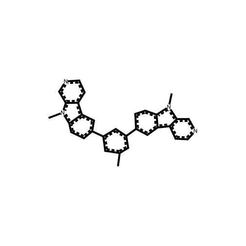 Cc1cc(-c2ccc3c(c2)c2ccncc2n3C)cc(-c2ccc3c(c2)c2ccncc2n3C)c1